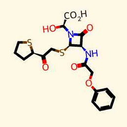 O=C(COc1ccccc1)N[C@@H]1C(=O)N([C@@H](O)C(=O)O)[C@@H]1SCC(=O)[C@H]1CCCS1